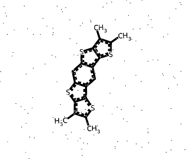 Cc1sc2c(sc3cc4sc5c(C)c(C)sc5c4cc32)c1C